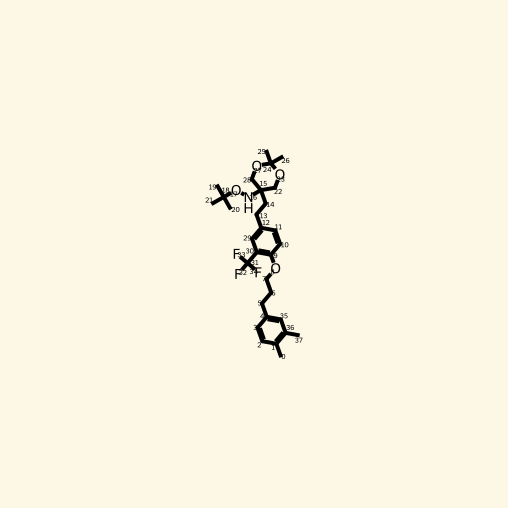 Cc1ccc(CCCOc2ccc(CCC3(NOC(C)(C)C)COC(C)(C)OC3)cc2C(F)(F)F)cc1C